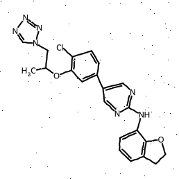 CC(Cn1cnnn1)Oc1cc(-c2cnc(Nc3cccc4c3OCC4)nc2)ccc1Cl